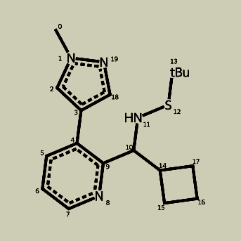 Cn1cc(-c2cccnc2C(NSC(C)(C)C)C2CCC2)cn1